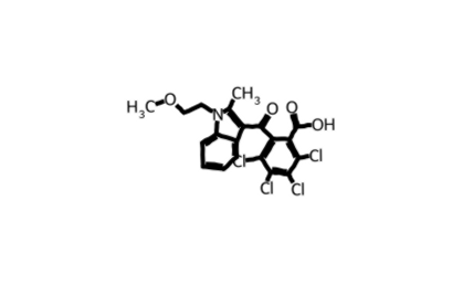 COCCn1c(C)c(C(=O)c2c(Cl)c(Cl)c(Cl)c(Cl)c2C(=O)O)c2ccccc21